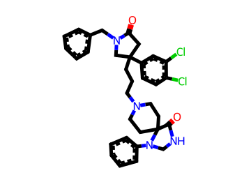 O=C1CC(CCCN2CCC3(CC2)C(=O)NCN3c2ccccc2)(c2ccc(Cl)c(Cl)c2)CN1Cc1ccccc1